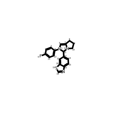 Fc1ccc(N2C=C3CCCN3C2c2ccc3ncsc3c2)cc1